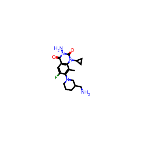 Cc1c(N2CCCC(CN)C2)c(F)cc2c(=O)n(N)c(=O)n(C3CC3)c12